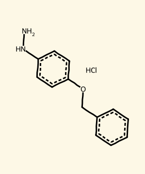 Cl.NNc1ccc(OCc2ccccc2)cc1